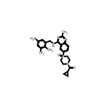 Cc1nc(NCc2cc(N)cc(C(F)(F)F)c2C)c2cc(P3(=O)CCN(C(=O)C4CC4)CC3)ccc2n1